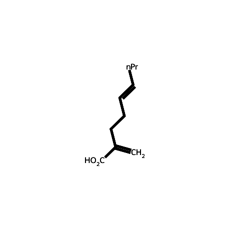 C=C(CCC=CCCC)C(=O)O